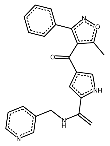 C=C(NCc1cccnc1)c1cc(C(=O)c2c(-c3ccccc3)noc2C)c[nH]1